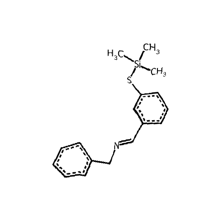 C[Si](C)(C)Sc1cccc(/C=N/Cc2ccccc2)c1